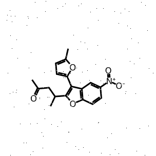 CC(=O)CC(C)c1oc2ccc([N+](=O)[O-])cc2c1-c1ccc(C)o1